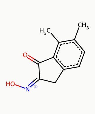 Cc1ccc2c(c1C)C(=O)/C(=N\O)C2